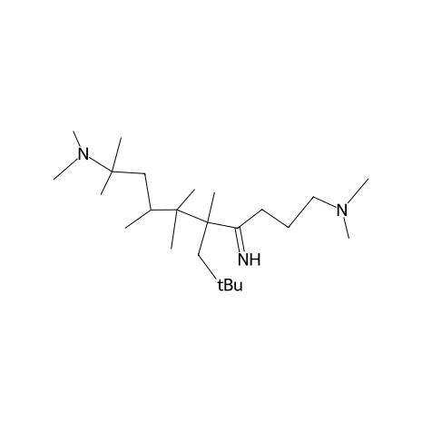 CC(CC(C)(C)N(C)C)C(C)(C)C(C)(CC(C)(C)C)C(=N)CCCN(C)C